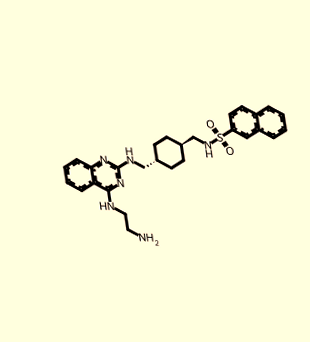 NCCNc1nc(NC[C@H]2CC[C@H](CNS(=O)(=O)c3ccc4ccccc4c3)CC2)nc2ccccc12